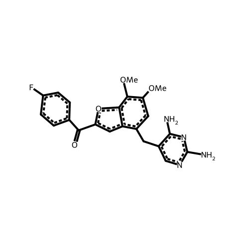 COc1cc(Cc2cnc(N)nc2N)c2cc(C(=O)c3ccc(F)cc3)oc2c1OC